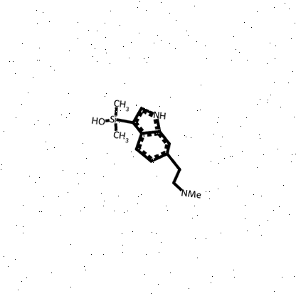 CNCCc1ccc2c([Si](C)(C)O)c[nH]c2c1